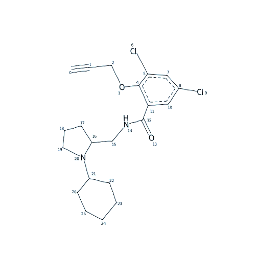 C#CCOc1c(Cl)cc(Cl)cc1C(=O)NCC1CCCN1C1CCCCC1